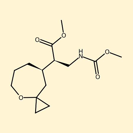 COC(=O)NC[C@H](C(=O)OC)[C@@H]1CCCOC2(CC2)C1